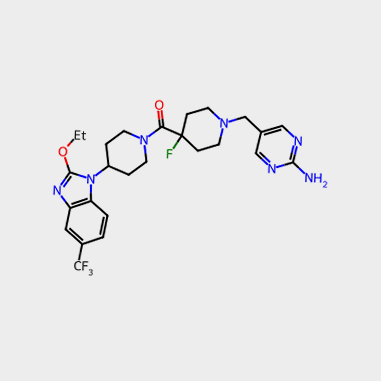 CCOc1nc2cc(C(F)(F)F)ccc2n1C1CCN(C(=O)C2(F)CCN(Cc3cnc(N)nc3)CC2)CC1